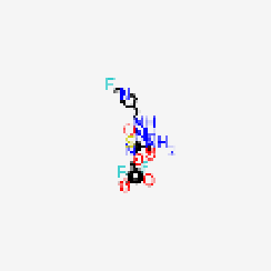 COc1cc(OC)c(F)c(COc2nsc(NC(=O)NCCC3CCN(CCF)CC3)c2C(N)=O)c1F